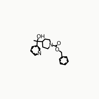 CC(O)(c1cccnc1)C1CCN(C(=O)OCc2ccccc2)CC1